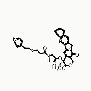 CC[C@@]1(OC(=O)CNC(=O)CCSCCc2ccncc2)C(=O)OCc2c1cc1n(c2=O)Cc2cc3ccccc3nc2-1